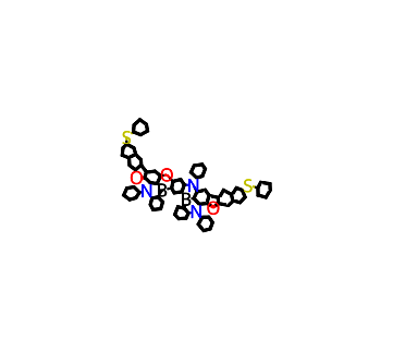 c1ccc(Sc2ccc3cc4oc5c6c7c(cc5c4cc3c2)Oc2cc3c(cc2B7c2ccccc2N6c2ccccc2)B2c4ccccc4N(c4ccccc4)c4c2c(cc2c4oc4cc5ccc(Sc6ccccc6)cc5cc42)N3c2ccccc2)cc1